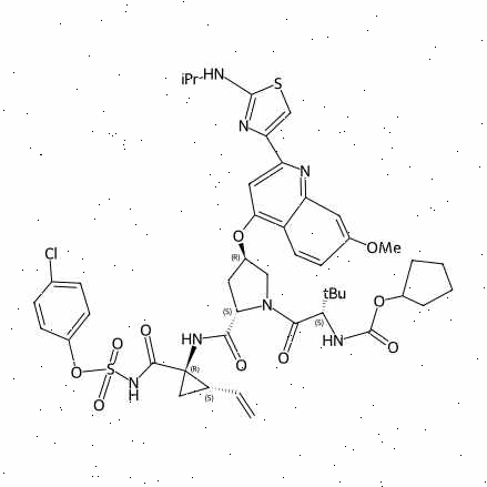 C=C[C@@H]1C[C@]1(NC(=O)[C@@H]1C[C@@H](Oc2cc(-c3csc(NC(C)C)n3)nc3cc(OC)ccc23)CN1C(=O)[C@@H](NC(=O)OC1CCCC1)C(C)(C)C)C(=O)NS(=O)(=O)Oc1ccc(Cl)cc1